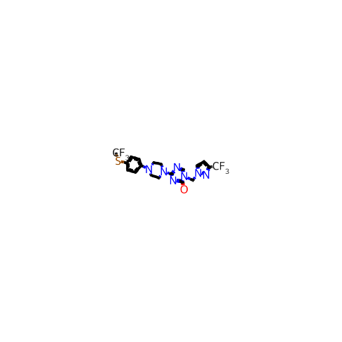 O=c1nc(N2CCN(c3ccc(SC(F)(F)F)cc3)CC2)ncn1Cn1ccc(C(F)(F)F)n1